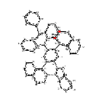 c1ccc(-c2c3ccccc3c(-c3cc(-c4cccc5ccccc45)c(-c4nc5ccccc5o4)cc3-c3cccc4ccccc34)c3ccccc23)cc1